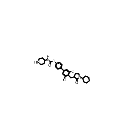 O=C(NC1CCNCC1)Oc1ccc(-c2cc(Cl)c(CC3CCN(C4CCCCC4)C3=O)c(Cl)c2)cc1